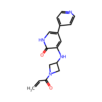 C=CC(=O)N1CC(Nc2cc(-c3ccncc3)c[nH]c2=O)C1